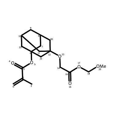 C=C(C)C(=O)OC12CC3CC(CC(OCC(=O)OCOC)(C3)C1)C2